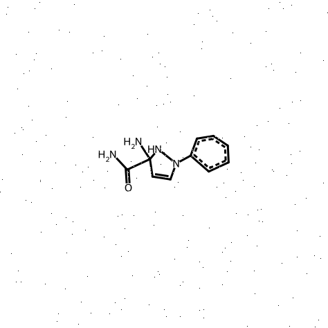 NC(=O)C1(N)C=CN(c2ccccc2)N1